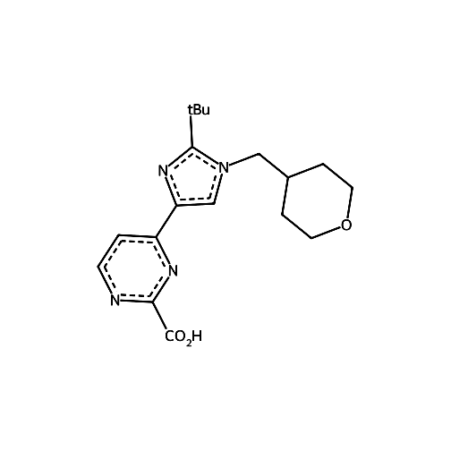 CC(C)(C)c1nc(-c2ccnc(C(=O)O)n2)cn1CC1CCOCC1